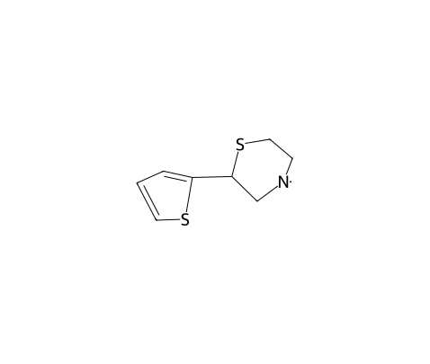 c1csc(C2C[N]CCS2)c1